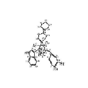 CCc1ccc(CN(C)C(=O)C(C(C)=O)(C(N)c2c[nH]c3ccccc23)N2CCC(N3CCCCC3)CC2)cc1CC